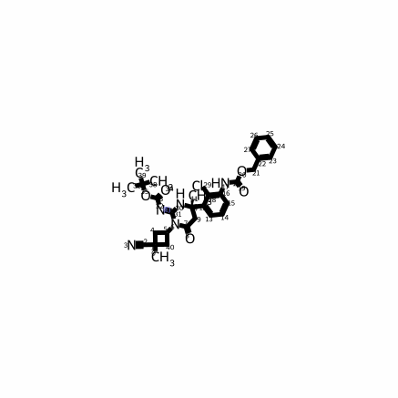 CC1(C#N)CC(N2C(=O)C[C@@](C)(c3cccc(NC(=O)OCc4ccccc4)c3Cl)N/C2=N\C(=O)OC(C)(C)C)C1